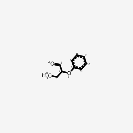 CCC(C=O)Oc1ccccc1